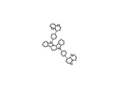 c1cnc2c(-c3ccc(-n4c5ccccc5c5c4ccc4c6ccccc6n(-c6ccc(-c7ccnc8cccnc78)cc6)c45)cc3)ccnc2c1